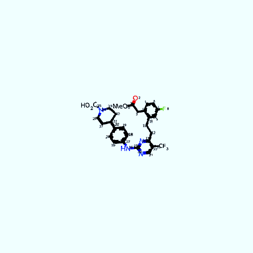 COC(=O)Cc1ccc(F)cc1CCc1nc(Nc2ccc(C3CCN(C(=O)O)CC3)cc2)ncc1C(F)(F)F